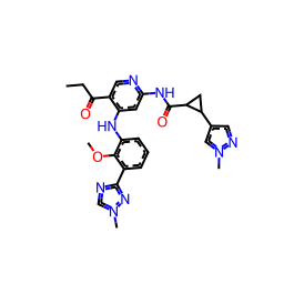 CCC(=O)c1cnc(NC(=O)C2CC2c2cnn(C)c2)cc1Nc1cccc(-c2ncn(C)n2)c1OC